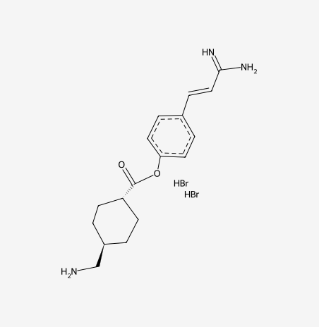 Br.Br.N=C(N)C=Cc1ccc(OC(=O)[C@H]2CC[C@H](CN)CC2)cc1